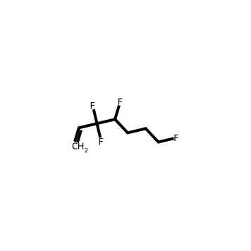 C=CC(F)(F)C(F)CCCF